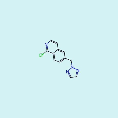 Clc1nccc2cc(Cn3nccn3)ccc12